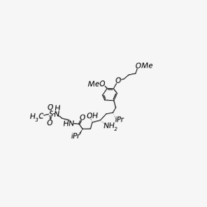 COCCCOc1cc(C[C@@H](C[C@H](N)[C@@H](O)C[C@H](C(=O)NCCNS(C)(=O)=O)C(C)C)C(C)C)ccc1OC